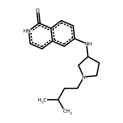 CC(C)CCN1CCC(Nc2ccc3c(=O)[nH]ccc3c2)C1